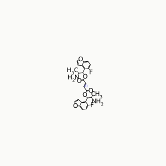 CC(N)C(OC(=O)/C=C/C(=O)OC(c1c(F)ccc2occc12)C(C)N)c1c(F)ccc2occc12